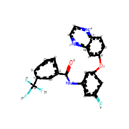 O=C(Nc1cc(F)cc(Oc2ccc3nccnc3c2)c1)c1cccc(C(F)(F)F)c1